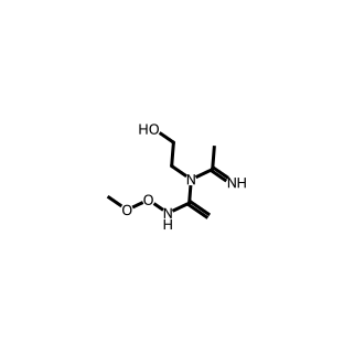 C=C(NOOC)N(CCO)C(C)=N